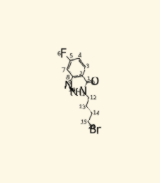 O=c1c2ccc(F)cc2nnn1CCCCBr